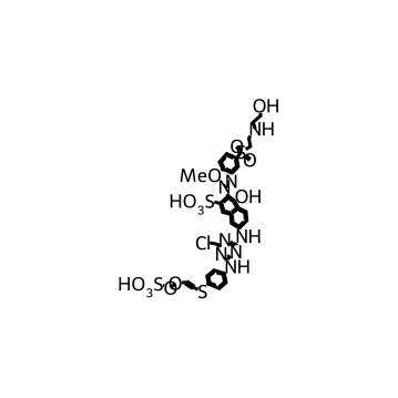 COc1ccc(S(=O)(=O)CCNCCO)cc1N=Nc1c(S(=O)(=O)O)cc2cc(Nc3nc(Cl)nc(Nc4ccc(SC#COOS(=O)(=O)O)cc4)n3)ccc2c1O